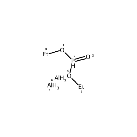 CCO[PH](=O)OCC.[AlH3].[AlH3]